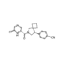 N#Cc1ccc([C@H]2CN(C(=O)c3cncc(=O)[nH]3)CC23CCC3)cc1